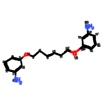 Nc1cccc(OCCCCCCOc2cccc(N)c2)c1